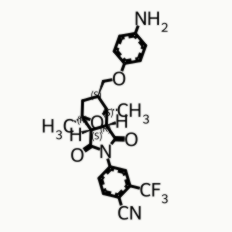 C[C@]12O[C@](C)(C[C@H]1COc1ccc(N)cc1)[C@H]1C(=O)N(c3ccc(C#N)c(C(F)(F)F)c3)C(=O)[C@H]12